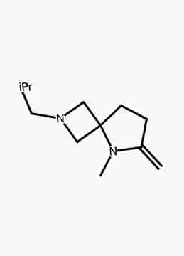 C=C1CCC2(CN(CC(C)C)C2)N1C